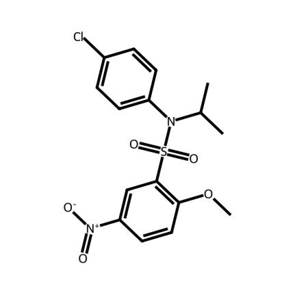 COc1ccc([N+](=O)[O-])cc1S(=O)(=O)N(c1ccc(Cl)cc1)C(C)C